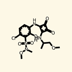 COCC(C)Nc1c(Nc2ccc(Cl)c(S(=O)(=O)N(C)OC)c2O)c(=O)c1=O